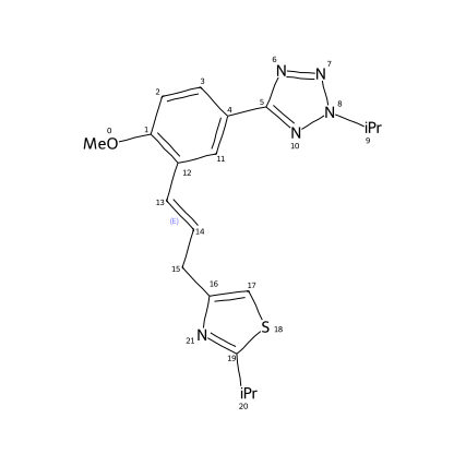 COc1ccc(-c2nnn(C(C)C)n2)cc1/C=C/Cc1csc(C(C)C)n1